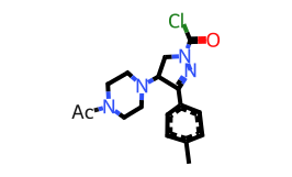 CC(=O)N1CCN(C2CN(C(=O)Cl)N=C2c2ccc(C)cc2)CC1